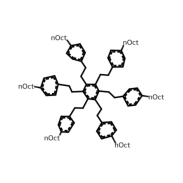 CCCCCCCCc1ccc(CCc2c(CCc3ccc(CCCCCCCC)cc3)c(CCc3ccc(CCCCCCCC)cc3)c(CCc3ccc(CCCCCCCC)cc3)c(CCc3ccc(CCCCCCCC)cc3)c2CCc2ccc(CCCCCCCC)cc2)cc1